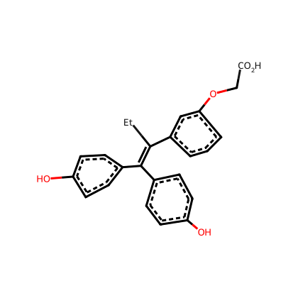 CCC(=C(c1ccc(O)cc1)c1ccc(O)cc1)c1cccc(OCC(=O)O)c1